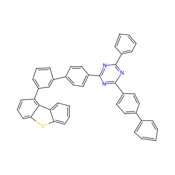 c1ccc(-c2ccc(-c3nc(-c4ccccc4)nc(-c4ccc(-c5cccc(-c6cccc7sc8ccccc8c67)c5)cc4)n3)cc2)cc1